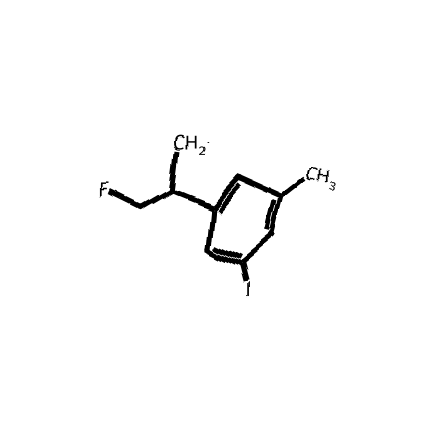 [CH2]C(CF)c1cc(C)cc(I)c1